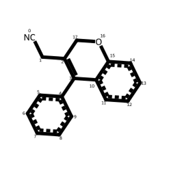 N#CCC1=C(c2ccccc2)c2ccccc2OC1